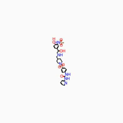 CS(=O)(=O)Nc1cc([C@@H](O)CNCC2CCN(S(=O)(=O)c3ccc(NC(=O)Nc4ccccn4)cc3)CC2)ccc1O